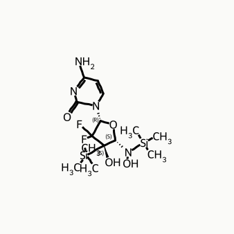 C[Si](C)(C)N(O)[C@H]1O[C@@H](n2ccc(N)nc2=O)C(F)(F)[C@@]1(O)[Si](C)(C)C